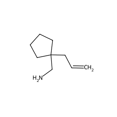 C=CCC1(CN)CCCC1